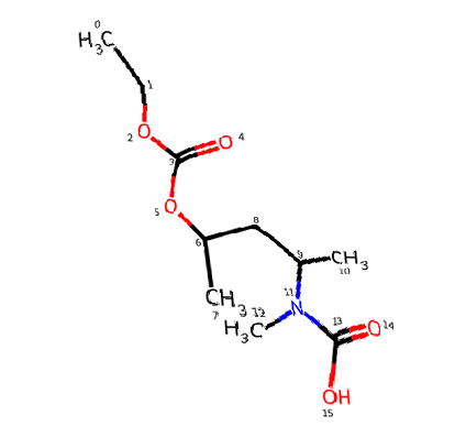 CCOC(=O)OC(C)CC(C)N(C)C(=O)O